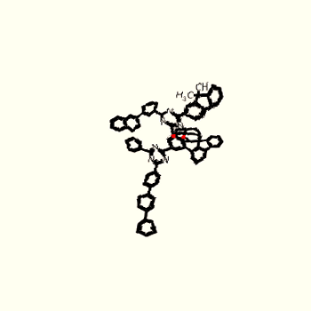 CC1(C)c2ccccc2-c2ccc(-c3nc(-c4cccc(-c5ccc6ccccc6c5)c4)nc(-c4cc(-c5nc(-c6ccccc6)nc(-c6ccc(-c7ccc(-c8ccccc8)cc7)cc6)n5)cc(-c5cccc6c5C5(c7ccccc7-6)C6CC7CC(C6)CC5C7)c4)n3)cc21